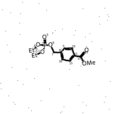 CCOP(=O)(OCC)OCc1ccc(C(=O)OC)cc1